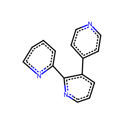 c1ccc(-c2ncccc2-c2ccncc2)nc1